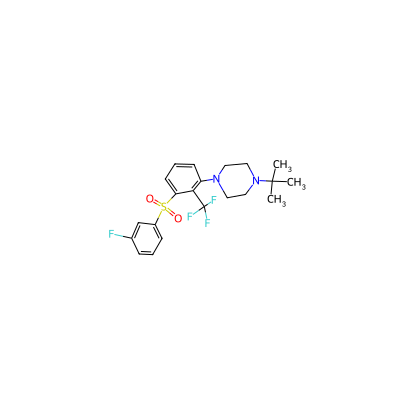 CC(C)(C)N1CCN(c2cccc(S(=O)(=O)c3cccc(F)c3)c2C(F)(F)F)CC1